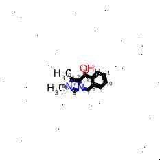 Cc1c2n(c[n+]1C)Cc1ccccc1C2O